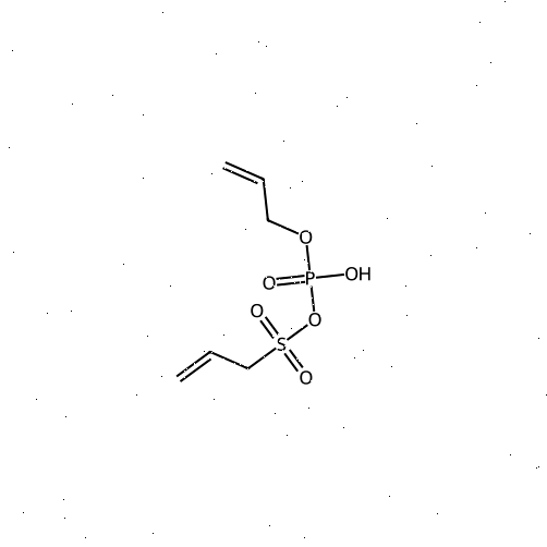 C=CCOP(=O)(O)OS(=O)(=O)CC=C